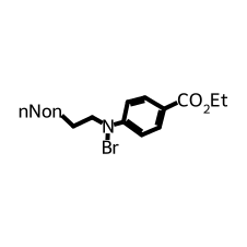 CCCCCCCCCCCN(Br)c1ccc(C(=O)OCC)cc1